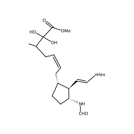 CCCCCC/C=C/[C@@H]1[C@@H](C/C=C\CC(C)C(O)(O)C(=O)OC)CC[C@H]1NC=O